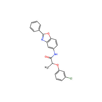 CC(Oc1cccc(Cl)c1)C(=O)Nc1ccc2oc(-c3ccccc3)nc2c1